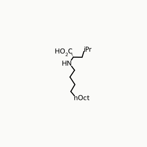 CCCCCCCCCCCCN[C@@H](CC(C)C)C(=O)O